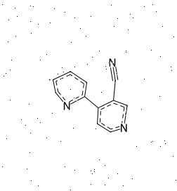 N#Cc1cnccc1-c1cc[c]cn1